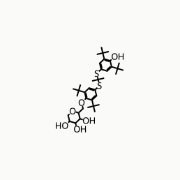 CC(C)(Sc1cc(C(C)(C)C)c(O)c(C(C)(C)C)c1)Sc1cc(C(C)(C)C)c(OCC2OCC(O)C(O)C2O)c(C(C)(C)C)c1